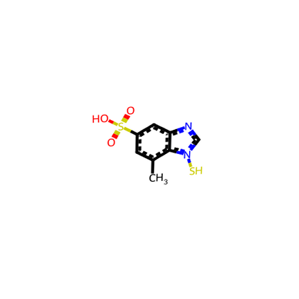 Cc1cc(S(=O)(=O)O)cc2ncn(S)c12